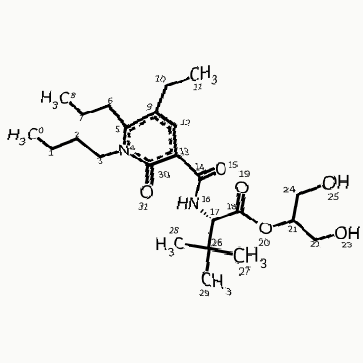 CCCCn1c(CCC)c(CC)cc(C(=O)N[C@H](C(=O)OC(CO)CO)C(C)(C)C)c1=O